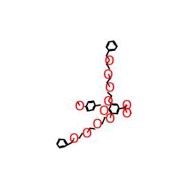 COC(=O)c1cc(OCCOCCOCCOCc2ccccc2)c(OCc2ccc(OC)cc2)c(OCCOCCOCCOCc2ccccc2)c1